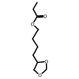 CCC(=O)OCCCCC1COCO1